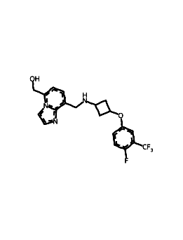 OCc1ccc(CNC2CC(Oc3ccc(F)c(C(F)(F)F)c3)C2)c2nccn12